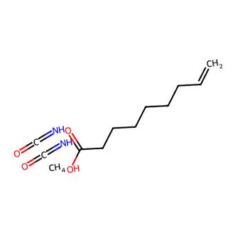 C.C=CCCCCCCC(=O)O.N=C=O.N=C=O